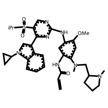 C=CC(=O)Nc1cc(Nc2ncc(S(=O)(=O)C(C)C)c(-c3cn(C4CC4)c4ccccc34)n2)c(OC)cc1N(C)CC1CCCN1C